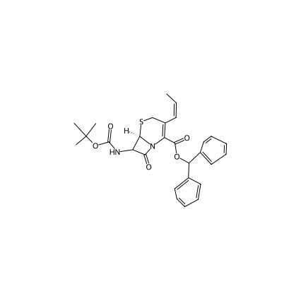 C/C=C\C1=C(C(=O)OC(c2ccccc2)c2ccccc2)N2C(=O)C(NC(=O)OC(C)(C)C)[C@H]2SC1